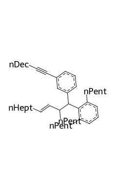 CCCCCCCC=CC(CCCCC)C(c1cccc(C#CCCCCCCCCCC)c1)c1c(CCCCC)cccc1CCCCC